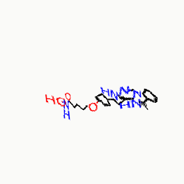 C[C@@H](Nc1ncnc2[nH]c(-c3ccc(OCCCCC(=O)NO)cc3)cc12)c1ccccc1